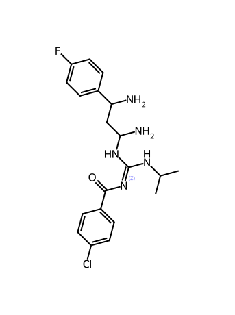 CC(C)N/C(=N/C(=O)c1ccc(Cl)cc1)NC(N)CC(N)c1ccc(F)cc1